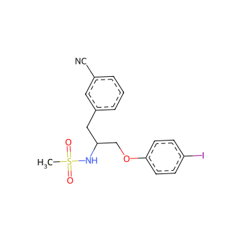 CS(=O)(=O)NC(COc1ccc(I)cc1)Cc1cccc(C#N)c1